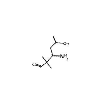 CC(O)CC(N)C(C)(C)C=O